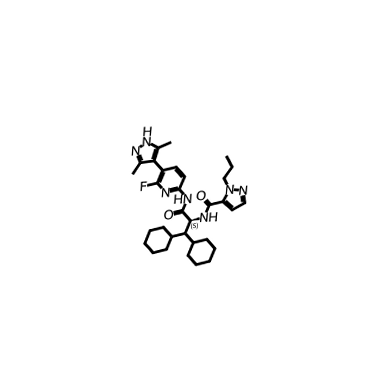 CCCn1nccc1C(=O)N[C@H](C(=O)Nc1ccc(-c2c(C)n[nH]c2C)c(F)n1)C(C1CCCCC1)C1CCCCC1